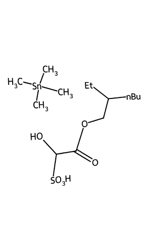 CCCCC(CC)COC(=O)C(O)S(=O)(=O)O.[CH3][Sn]([CH3])([CH3])[CH3]